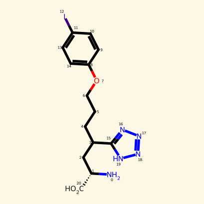 N[C@@H](CC(CCCOc1ccc(I)cc1)c1nnn[nH]1)C(=O)O